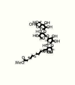 COC(=O)CSCCSCCCNCC(O)C(O)C(CO)O[C@@H]1OC[C@@H](O[C@@H]2OC[C@@H](O)C(O)C2O[C@H]2OC(OC=O)[C@@H](CO)[C@H](O)C2O)[C@@H](O)C1O